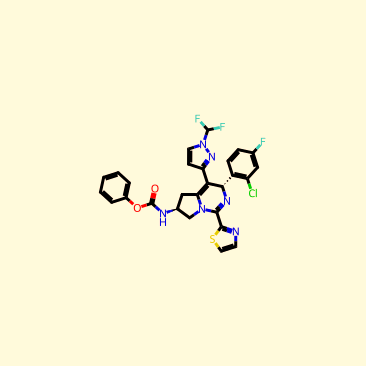 O=C(N[C@H]1CC2=C(c3ccn(C(F)F)n3)[C@H](c3ccc(F)cc3Cl)N=C(c3nccs3)N2C1)Oc1ccccc1